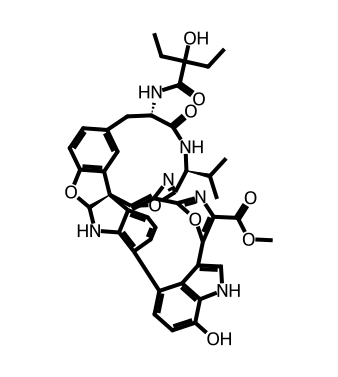 CCC(O)(CC)C(=O)N[C@H]1Cc2ccc3c(c2)[C@]24c5cccc(c5NC2O3)-c2ccc(O)c3[nH]cc(c23)-c2oc(nc2C(=O)OC)-c2nc(oc24)[C@H](C(C)C)NC1=O